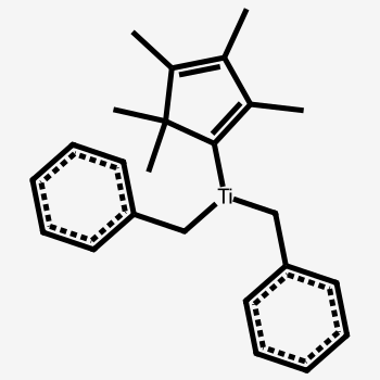 CC1=C(C)C(C)(C)[C]([Ti]([CH2]c2ccccc2)[CH2]c2ccccc2)=C1C